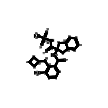 Cc1cccc(C(=O)NC2(C(=O)NS(=O)(=O)C(F)(F)F)Cc3ccccc3C2)c1OC1CCC1